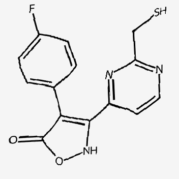 O=c1o[nH]c(-c2ccnc(CS)n2)c1-c1ccc(F)cc1